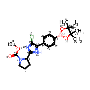 CC(C)(C)OC(=O)N1CCCC1c1nc(Cl)c(-c2ccc(B3OC(C)(C)C(C)(C)O3)cc2)[nH]1